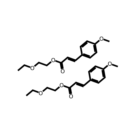 CCOCCOC(=O)/C=C/c1ccc(OC)cc1.CCOCCOC(=O)/C=C/c1ccc(OC)cc1